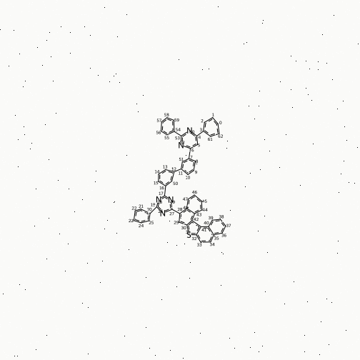 c1ccc(-c2cc(-c3cccc(-c4cccc(-c5nc(-c6ccccc6)nc(-c6cc7sc8ccc9ccccc9c8c7c7ccccc67)n5)c4)c3)nc(-c3ccccc3)n2)cc1